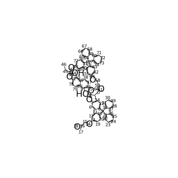 CCC(O)(Oc1ccc(C2(c3ccc(OCC4CO4)cc3)c3ccccc3-c3ccccc32)cc1)Oc1ccc2cc(OC(O)(CC)Oc3ccc(C4(c5ccc(OCC6CO6)cc5)c5ccccc5-c5ccccc54)cc3)ccc2c1